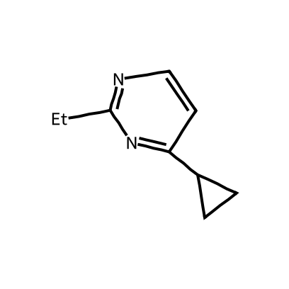 CCc1nccc(C2CC2)n1